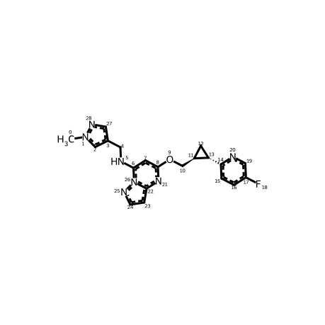 Cn1cc(CNc2cc(OC[C@H]3C[C@@H]3c3ccc(F)cn3)nc3ccnn23)cn1